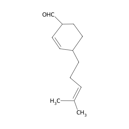 CC(C)=CCCC1C=CC(C=O)CC1